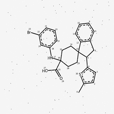 Cc1ccc(C2Cc3ccccc3C23CCC(Nc2cccc(Br)c2)(C(=O)O)CC3)s1